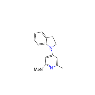 CNc1cc(N2CCc3ccccc32)cc(C)n1